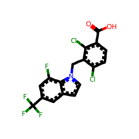 O=C(O)c1ccc(Cl)c(Cn2ccc3cc(C(F)(F)F)cc(F)c32)c1Cl